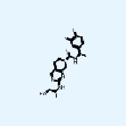 C[C@@H](CO)Nc1ncc2c(n1)CN(C(=O)N[C@H](C)c1ccc(F)c(F)c1)CC2